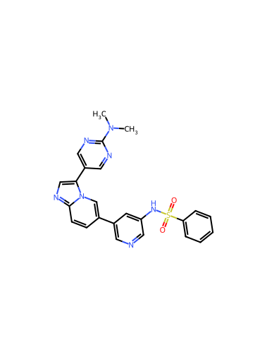 CN(C)c1ncc(-c2cnc3ccc(-c4cncc(NS(=O)(=O)c5ccccc5)c4)cn23)cn1